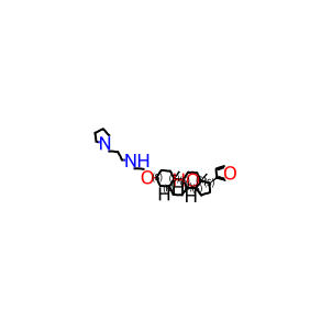 C[C@]12CC[C@H](OCCNCCCN3CCCC3)C[C@H]1CC[C@@H]1[C@@H]2CC[C@]2(C)[C@@H](c3ccoc3)CC[C@]12O